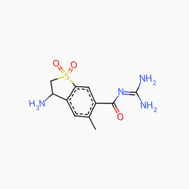 Cc1cc2c(cc1C(=O)N=C(N)N)S(=O)(=O)CC2N